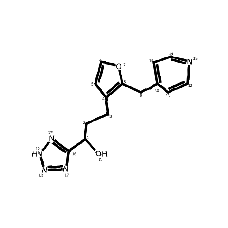 OC(CCc1ccoc1Cc1ccncc1)c1nn[nH]n1